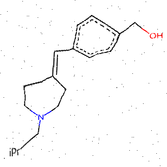 CC(C)CN1CCC(=Cc2ccc(CO)cc2)CC1